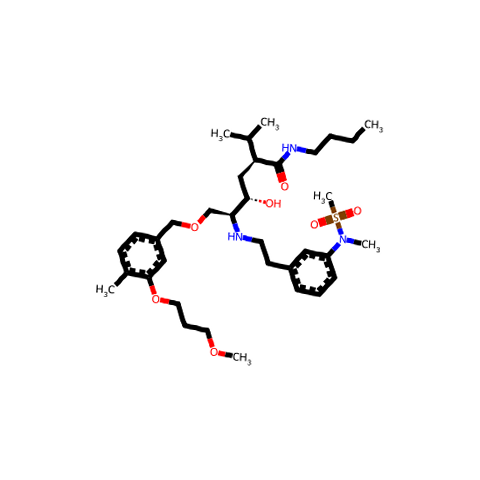 CCCCNC(=O)[C@@H](C[C@H](O)[C@H](COCc1ccc(C)c(OCCCOC)c1)NCCc1cccc(N(C)S(C)(=O)=O)c1)C(C)C